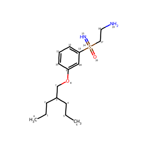 CCCC(CCC)COc1cccc(S(=N)(=O)CCN)c1